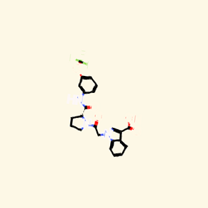 O=C(O)c1cn(CC(=O)N2CCC[C@H]2C(=O)Nc2cccc(OC(F)(F)F)c2)c2ccccc12